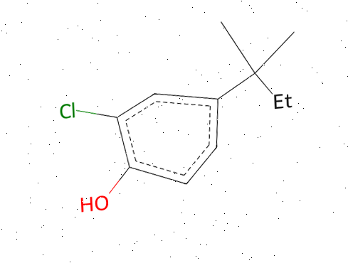 CCC(C)(C)c1ccc(O)c(Cl)c1